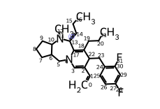 C=CC1=CN2CC3CCCC3N(C)/C(=C\CC)C2=C(CCC)C1Cc1ccc(F)cc1F